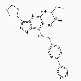 CCC(Nc1nc(NCc2ccc(-c3ccoc3)cc2)c2ncn(C3CCCC3)c2n1)[C@@H](C)O